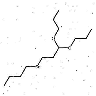 CCC[CH2][Sn][CH2]CC(OCCC)OCCC